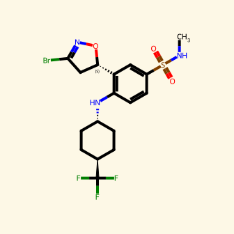 CNS(=O)(=O)c1ccc(N[C@H]2CC[C@H](C(F)(F)F)CC2)c([C@@H]2CC(Br)=NO2)c1